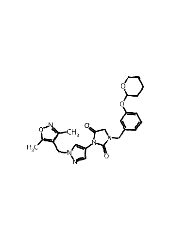 Cc1noc(C)c1Cn1cc(N2C(=O)CN(Cc3cccc(OC4CCCCO4)c3)C2=O)cn1